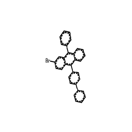 Brc1ccc2c(-c3ccc(-c4ccccc4)cc3)c3ccccc3c(-c3ccccc3)c2c1